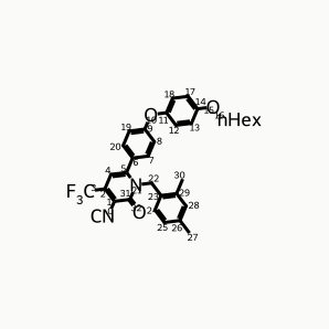 [C-]#[N+]c1c(C(F)(F)F)cc(-c2ccc(Oc3ccc(OCCCCCC)cc3)cc2)n(Cc2ccc(C)cc2C)c1=O